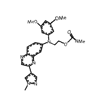 CNC(=O)OCCN(c1cc(OC)cc(OC)c1)c1ccc2ncc(-c3cnn(C)c3)nc2c1